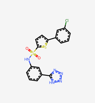 O=S(=O)(Nc1cccc(-c2nnn[nH]2)c1)c1ccc(-c2cccc(Cl)c2)s1